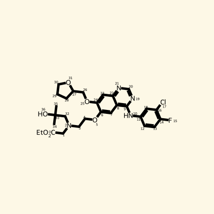 CCOC(=O)CN(CCOc1cc2c(Nc3ccc(F)c(Cl)c3)ncnc2cc1OCC1CCCO1)CC(C)(C)O